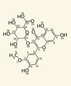 COc1cc(-c2oc3cc(O)cc(O)c3c(=O)c2OC2OC(C(=O)O)C(O)C(O)C2O)ccc1O